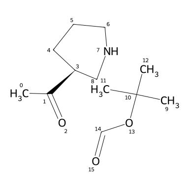 CC(=O)[C@H]1CCCNC1.CC(C)(C)OC=O